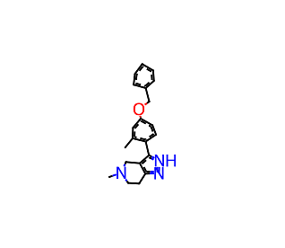 Cc1cc(OCc2ccccc2)ccc1-c1[nH]nc2c1CN(C)CC2